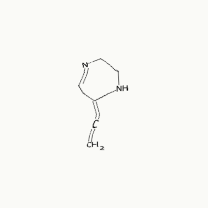 C=C=C1C=NCCN1